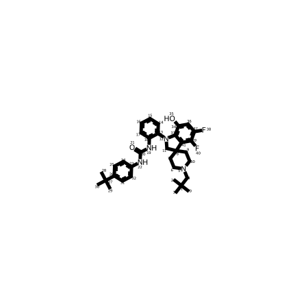 CC(C)(C)CN1CCC2(CC1)CN(c1ccccc1NC(=O)Nc1ccc(C(C)(C)C)cc1)c1c(O)cc(F)c(F)c12